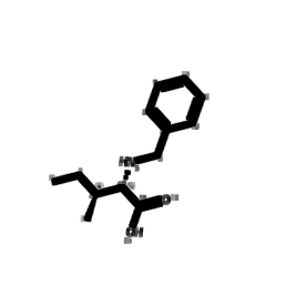 CC[C@H](C)[C@H](NCc1ccccc1)C(=O)O